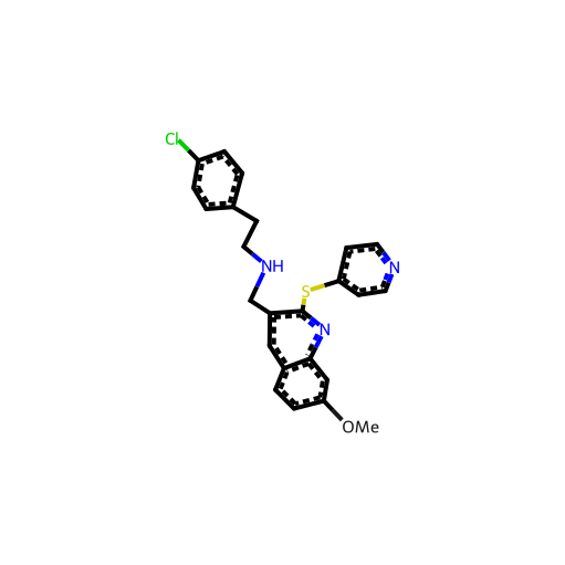 COc1ccc2cc(CNCCc3ccc(Cl)cc3)c(Sc3ccncc3)nc2c1